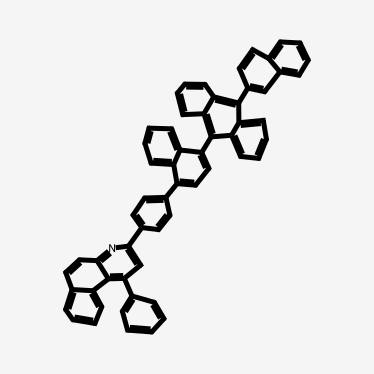 c1ccc(-c2cc(-c3ccc(-c4ccc(-c5c6ccccc6c(-c6ccc7ccccc7c6)c6ccccc56)c5ccccc45)cc3)nc3ccc4ccccc4c23)cc1